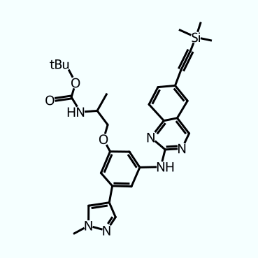 CC(COc1cc(Nc2ncc3cc(C#C[Si](C)(C)C)ccc3n2)cc(-c2cnn(C)c2)c1)NC(=O)OC(C)(C)C